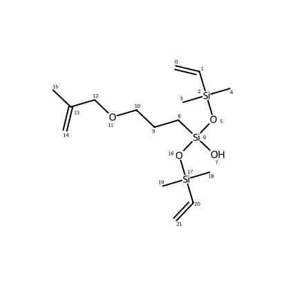 C=C[Si](C)(C)O[Si](O)(CCCOCC(=C)C)O[Si](C)(C)C=C